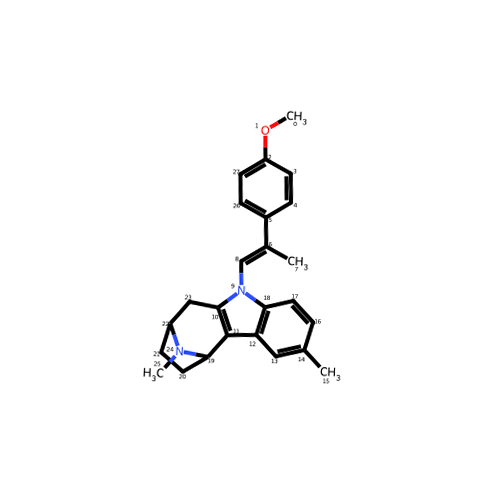 COc1ccc(/C(C)=C/n2c3c(c4cc(C)ccc42)C2CCC(C3)N2C)cc1